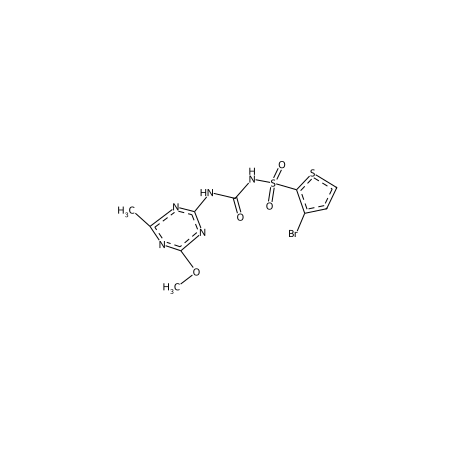 COc1nc(C)nc(NC(=O)NS(=O)(=O)c2sccc2Br)n1